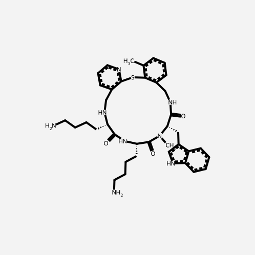 Cc1cccc2c1Sc1ncccc1CN[C@@H](CCCCN)C(=O)N[C@@H](CCCCN)C(=O)N(C)[C@@H](Cc1c[nH]c3ccccc13)C(=O)NC2